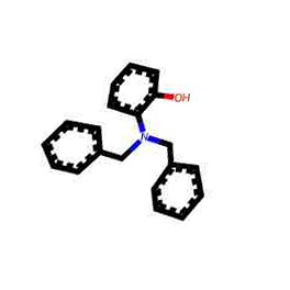 Oc1ccccc1N(Cc1ccccc1)Cc1ccccc1